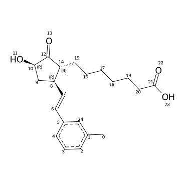 Cc1cccc(C=C[C@H]2C[C@@H](O)C(=O)[C@@H]2CCCCCCC(=O)O)c1